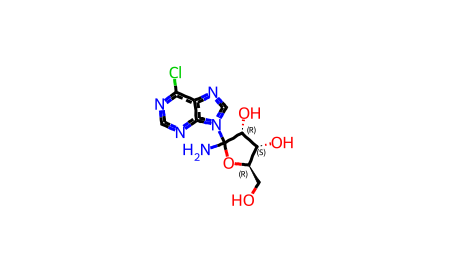 NC1(n2cnc3c(Cl)ncnc32)O[C@H](CO)[C@@H](O)[C@H]1O